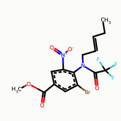 CC/C=C/CN(C(=O)C(F)(F)F)c1c(Br)cc(C(=O)OC)cc1[N+](=O)[O-]